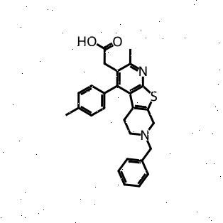 Cc1ccc(-c2c(CC(=O)O)c(C)nc3sc4c(c23)CCN(Cc2ccccc2)C4)cc1